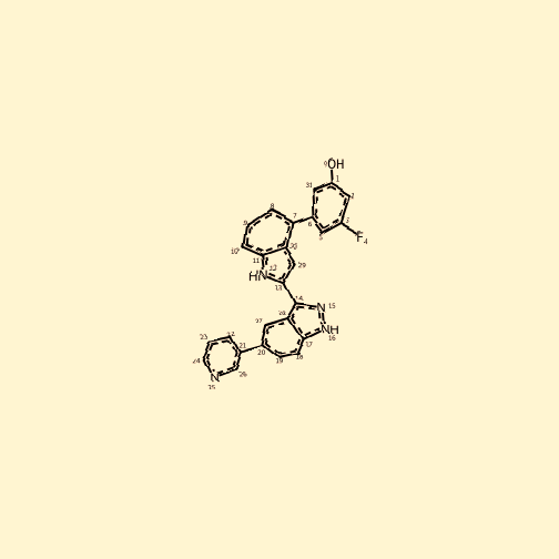 Oc1cc(F)cc(-c2cccc3[nH]c(-c4n[nH]c5ccc(-c6cccnc6)cc45)cc23)c1